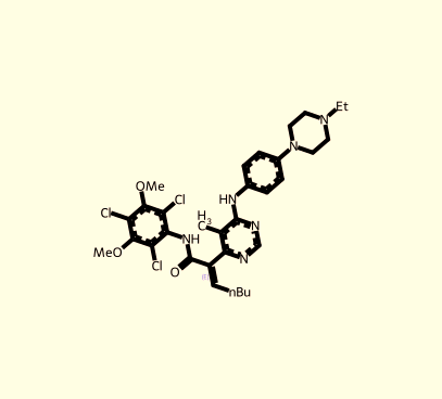 CCCC/C=C(/C(=O)Nc1c(Cl)c(OC)c(Cl)c(OC)c1Cl)c1ncnc(Nc2ccc(N3CCN(CC)CC3)cc2)c1C